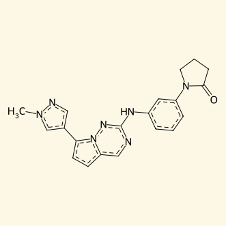 Cn1cc(-c2ccc3cnc(Nc4cccc(N5CCCC5=O)c4)nn23)cn1